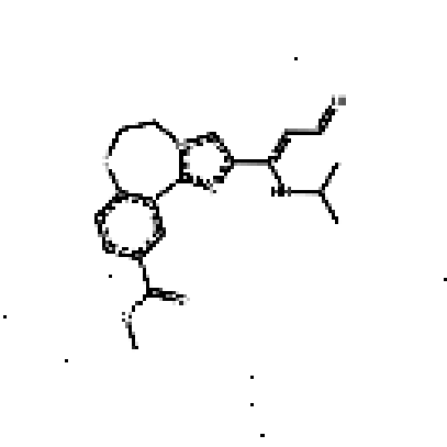 COC(=O)c1ccc2c(c1)-c1nc(/C(=C/C=N)NC(C)C)cn1CCO2